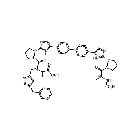 COC(=O)N[C@@H](Cc1cn(Cc2ccccc2)cn1)C(=O)N1CCC[C@H]1c1ncc(-c2ccc(-c3ccc(-c4cnc([C@@H]5CCCN5C(=O)[C@H](C)NC(=O)O)[nH]4)cc3)cc2)[nH]1